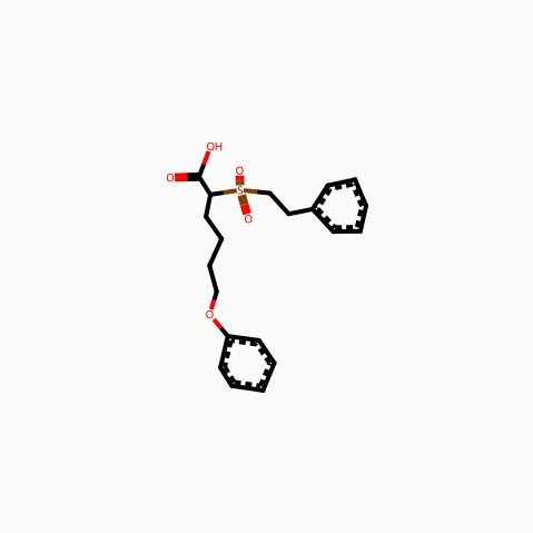 O=C(O)C(CCCCOc1ccccc1)S(=O)(=O)CCc1ccccc1